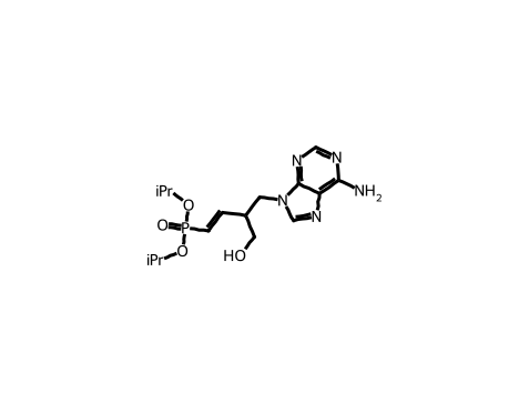 CC(C)OP(=O)(C=CC(CO)Cn1cnc2c(N)ncnc21)OC(C)C